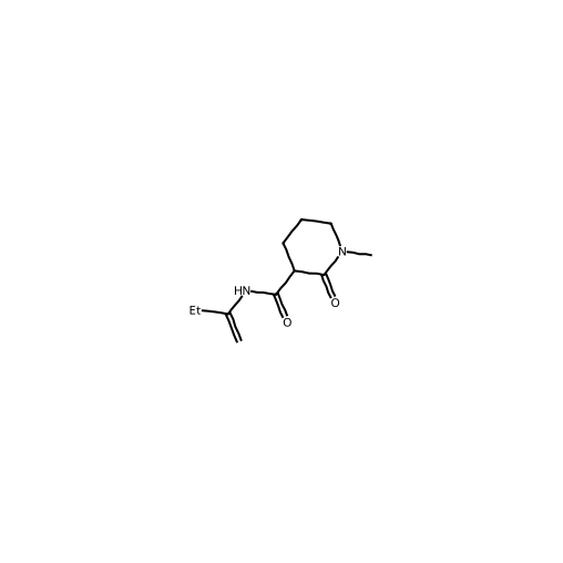 C=C(CC)NC(=O)C1CCCN(C)C1=O